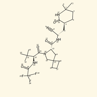 CC1(C)CC[C@@H](C[C@@H](C#N)NC(=O)[C@@H]2CC3(CCC3)CN2C(=O)[C@@H](NC(=O)C(F)(F)F)C(C)(C)C)C(=O)N1